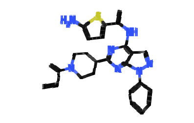 C=CC(=C)N1CCC(c2nc(NC(=C)c3ccc(N)s3)c3cnn(-c4ccccc4)c3n2)CC1